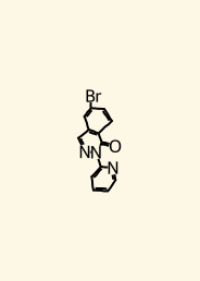 O=c1c2ccc(Br)cc2cnn1-c1ccccn1